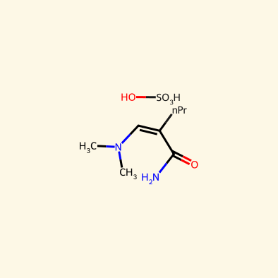 CCCC(=CN(C)C)C(N)=O.O=S(=O)(O)O